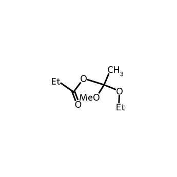 [CH2]CC(=O)OC(C)(OC)OCC